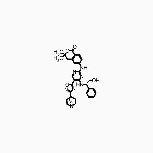 CC1(C)Cc2cc(Nc3ncc(-c4nc(C56CCN(CC5)CC6)no4)c(N[C@H](CO)c4ccccc4)n3)ccc2C(=O)O1